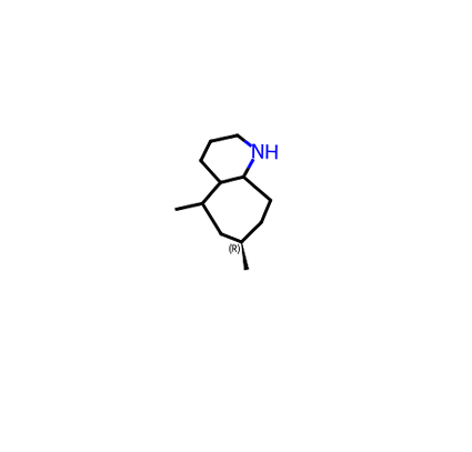 CC1C[C@H](C)CCC2NCCCC12